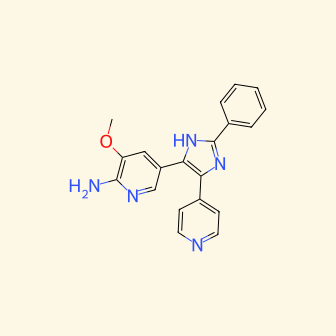 COc1cc(-c2[nH]c(-c3ccccc3)nc2-c2ccncc2)cnc1N